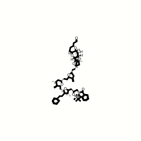 C=C1C[C@H](CC[C@@]23C[C@]4(C)O[C@H]5[C@@H](O2)[C@H]2OC(CC=O)CC[C@@H]2O[C@H]5[C@H]4O3)OC1CC[C@H]1C[C@@H](C)C(=C)C(C[C@@H]2OC(C[C@@H](CN3C(=O)c4ccccc4C3=O)O[Si](C)(C)C(C)(C)C)[C@H](C)C2CCc2ccccc2)O1